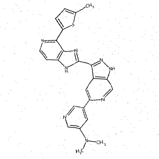 Cc1ccc(-c2nccc3[nH]c(-c4n[nH]c5cnc(-c6cncc(N(C)C)c6)cc45)nc23)s1